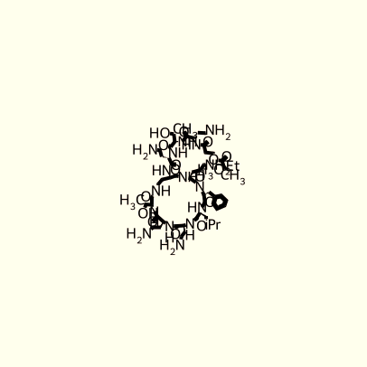 CCC(C)(C)C(=O)OCCC(=O)N[C@@H](CCN)C(=O)N[C@H](C(=O)N[C@@H](CCN)C(=O)N[C@H]1CCNC(=O)[C@H]([C@H](C)O)NC(=O)[C@H](CCN)NC(=O)[C@H](CCN)NC(=O)[C@H](CC(C)C)NC(=O)[C@@H](Cc2ccccc2)NC(=O)[C@H](CCCN)NC1=O)C(C)O